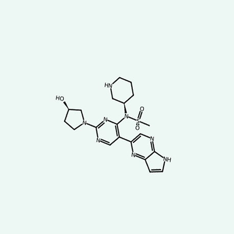 CS(=O)(=O)N(c1nc(N2CC[C@@H](O)C2)ncc1-c1cnc2[nH]ccc2n1)[C@@H]1CCCNC1